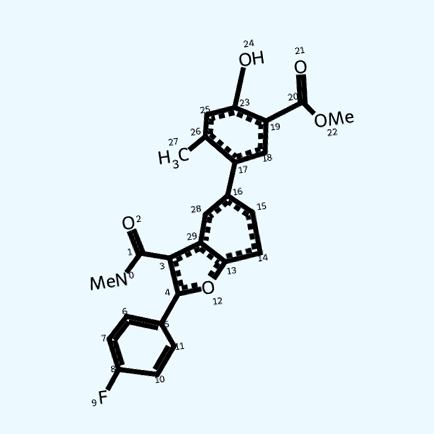 CNC(=O)c1c(C2=C=C=C(F)C=C2)oc2ccc(-c3cc(C(=O)OC)c(O)cc3C)cc12